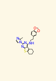 Cc1nccn1-c1nc(NCCc2ccc3c(c2)OCO3)c2c3c(sc2n1)CCCC3